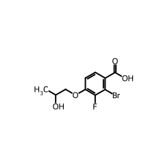 CC(O)COc1ccc(C(=O)O)c(Br)c1F